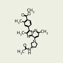 COC(=O)c1ccc(-c2c(C)nc3c(N4CC[C@@H](NC(C)=O)C4)cc(C)nn23)cc1C